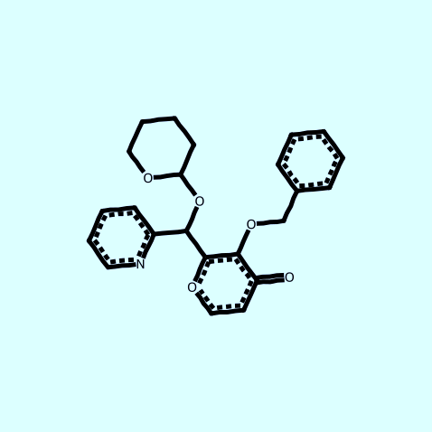 O=c1ccoc(C(OC2CCCCO2)c2ccccn2)c1OCc1ccccc1